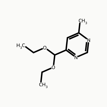 CCOC(OCC)c1cc(C)ncn1